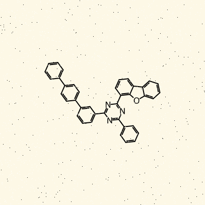 c1ccc(-c2ccc(-c3cccc(-c4nc(-c5ccccc5)nc(-c5cccc6c5oc5ccccc56)n4)c3)cc2)cc1